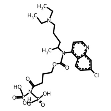 CCN(CC)CCCC(C)N(C(=O)OCCCC(=O)N(P(=O)(O)O)P(=O)(O)O)c1ccnc2cc(Cl)ccc12